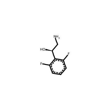 NC[C@H](O)c1c(F)cccc1F